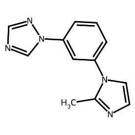 Cc1nccn1-c1cccc(-n2cncn2)c1